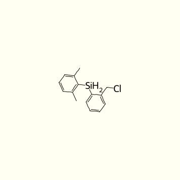 Cc1cccc(C)c1[SiH2]c1ccccc1CCl